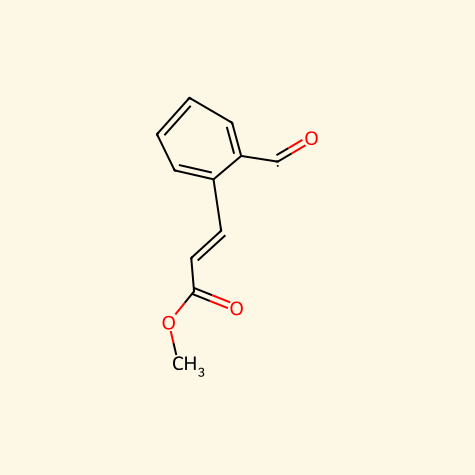 COC(=O)C=Cc1ccccc1[C]=O